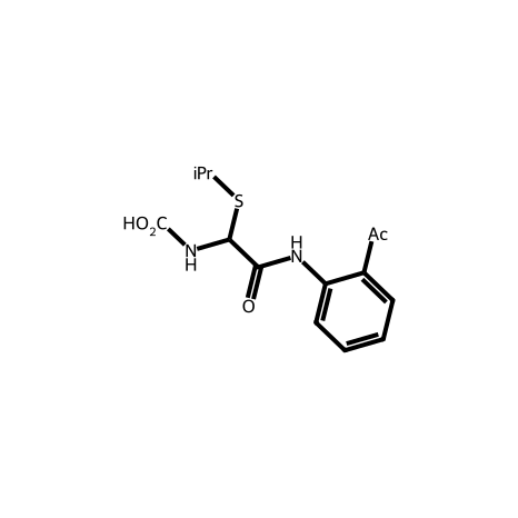 CC(=O)c1ccccc1NC(=O)C(NC(=O)O)SC(C)C